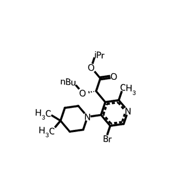 CCCCO[C@H](C(=O)OC(C)C)c1c(C)ncc(Br)c1N1CCC(C)(C)CC1